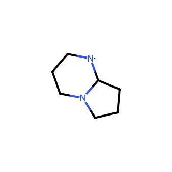 C1C[N]C2CCCN2C1